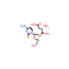 Nc1ccn([C@H]2CS[C@@H](CO)O2)c(=O)n1.O.O=C(O)CCC(=O)O